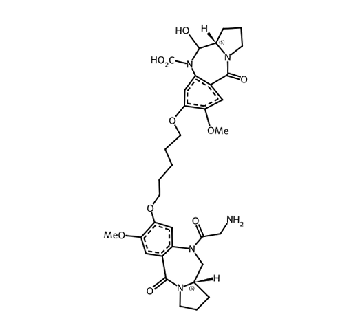 COc1cc2c(cc1OCCCCCOc1cc3c(cc1OC)C(=O)N1CCC[C@H]1C(O)N3C(=O)O)N(C(=O)CN)C[C@@H]1CCCN1C2=O